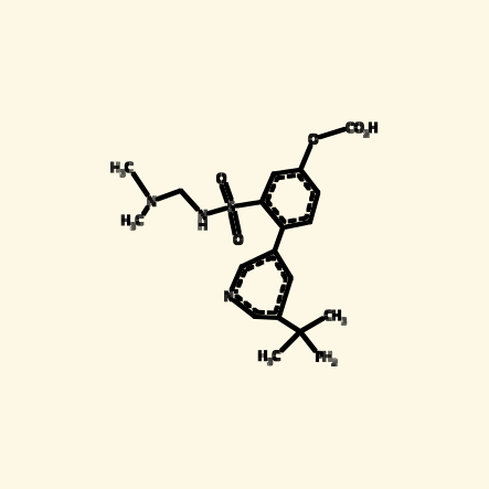 CN(C)CNS(=O)(=O)c1cc(OC(=O)O)ccc1-c1cncc(C(C)(C)P)c1